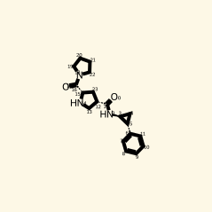 O=C(N[C@H]1C[C@@H]1c1ccccc1)[C@@H]1CN[C@H](C(=O)N2CCCC2)C1